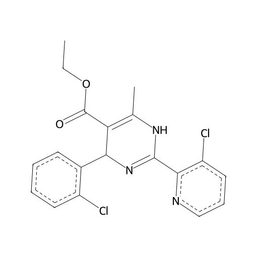 CCOC(=O)C1=C(C)NC(c2ncccc2Cl)=NC1c1ccccc1Cl